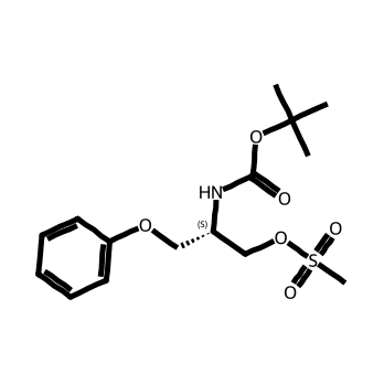 CC(C)(C)OC(=O)N[C@@H](COc1ccccc1)COS(C)(=O)=O